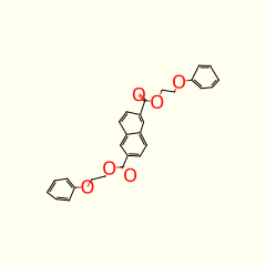 O=C(OCCOc1ccccc1)c1ccc2cc(C(=O)OCCOc3ccccc3)ccc2c1